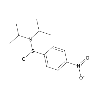 CC(C)N(C(C)C)[S+]([O-])c1ccc([N+](=O)[O-])cc1